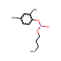 CCCCCCCCCCCCCOP(O)Oc1ccc(C(C)(C)C)cc1C(C)(C)C